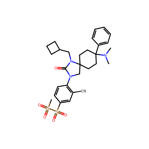 CN(C)C1(c2ccccc2)CCC2(CC1)CN(c1ccc(S(=O)(=O)S(C)(=O)=O)cc1C#N)C(=O)N2CC1CCC1